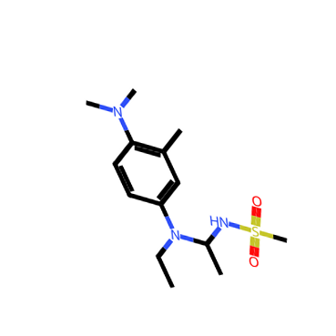 CCN(c1ccc(N(C)C)c(C)c1)C(C)NS(C)(=O)=O